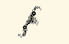 CC(C)[C@@H](C(=O)N[C@@H](Cc1ccc(OCCN)cc1)C(=O)O)n1cc(COc2ccc3nc(SOON)sc3c2)nn1